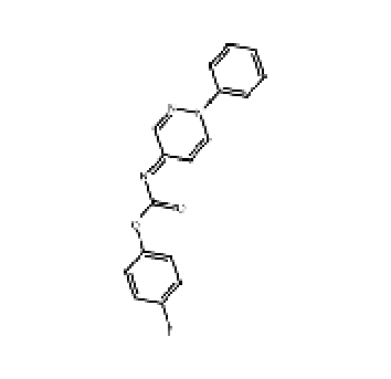 O=C(/N=c1\ccn(-c2ccccc2)nc1)Oc1ccc(F)cc1